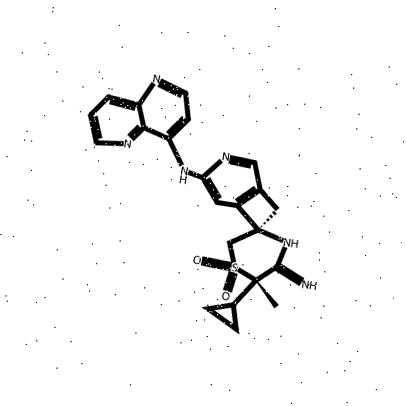 C[C@]1(C2CC2)C(=N)N[C@@]2(Cc3cnc(Nc4ccnc5cccnc45)cc32)CS1(=O)=O